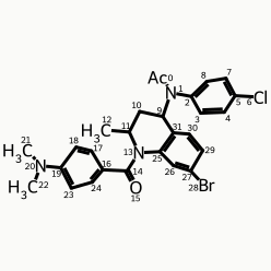 CC(=O)N(c1ccc(Cl)cc1)C1CC(C)N(C(=O)c2ccc(N(C)C)cc2)c2cc(Br)ccc21